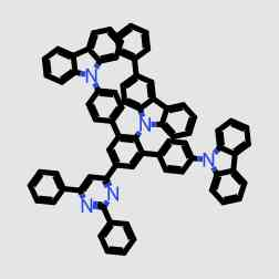 c1ccc(-c2ccc3c(c2)c2ccccc2n3-c2c(-c3ccc(-n4c5ccccc5c5ccccc54)cc3)cc(-c3cc(-c4ccccc4)nc(-c4ccccc4)n3)cc2-c2ccc(-n3c4ccccc4c4ccccc43)cc2)cc1